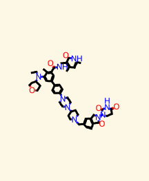 CCN(c1cc(-c2ccc(N3CCN(C4CCN(Cc5ccc6c(c5)CN(N5CCC(=O)NC5=O)C6=O)CC4)CC3)cc2)cc(C(=O)NCc2c(C)cc(C)[nH]c2=O)c1C)C1CCOCC1